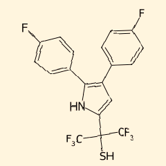 Fc1ccc(-c2cc(C(S)(C(F)(F)F)C(F)(F)F)[nH]c2-c2ccc(F)cc2)cc1